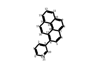 [c]1ccc(-c2ccc3ccc4cccc5ccc2c3c45)cn1